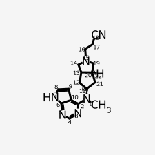 CN(c1ncnc2[nH]ccc12)[C@H]1CC2CN(CCC#N)C[C@@H]2C1